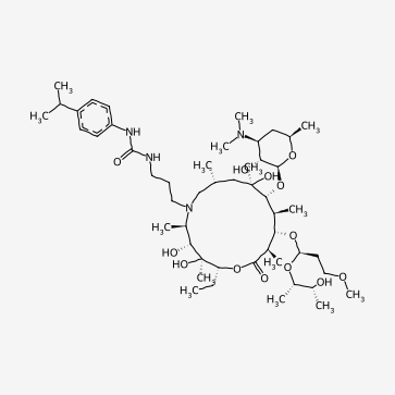 CC[C@H]1OC(=O)[C@H](C)[C@@H](O[C@@H](CCOC)O[C@@H](C)[C@@H](C)O)[C@H](C)[C@@H](O[C@@H]2O[C@H](C)C[C@H](N(C)C)[C@H]2O)[C@](C)(O)C[C@@H](C)CN(CCCNC(=O)Nc2ccc(C(C)C)cc2)[C@H](C)[C@@H](O)[C@]1(C)O